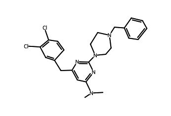 CN(C)c1cc(Cc2ccc(Cl)c(Cl)c2)nc(N2CCN(Cc3ccccc3)CC2)n1